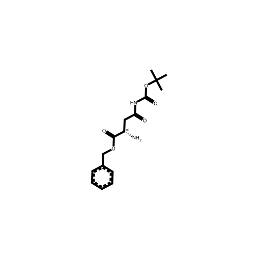 CC(C)(C)OC(=O)NC(=O)C[C@H](N)C(=O)OCc1ccccc1